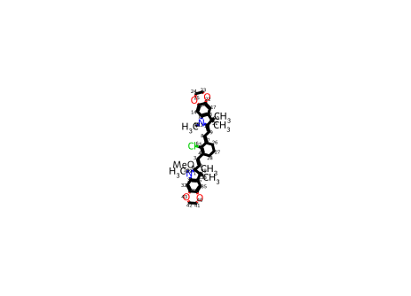 COC1(/C=C/C2=C(Cl)C(=C/C=C3\N(C)c4cc5c(cc4C3(C)C)OCCO5)/CCC2)N(C)c2cc3c(cc2C1(C)C)OCCO3